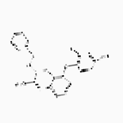 COc1cc2nccc(Oc3ccc(N)cc3F)c2cc1OCc1ccccc1